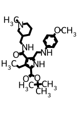 CCc1c(C(=O)OC(C)(C)C)[nH]c(CNc2ccc(OC)cc2)c1C(=O)NCC1CCCN(C)C1